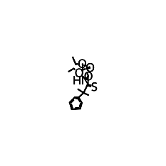 CCOP(=O)(OCC)ONC(=S)C(C)(C)c1ccccc1